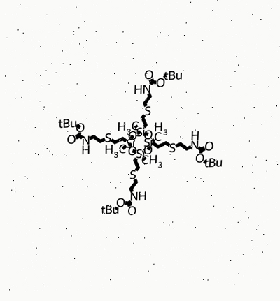 CC(C)(C)OC(=O)NCCSCC[Si]1(C)O[Si](C)(CCSCCNC(=O)OC(C)(C)C)O[Si](C)(CCSCCNC(=O)OC(C)(C)C)O[Si](C)(CCSCCNC(=O)OC(C)(C)C)O1